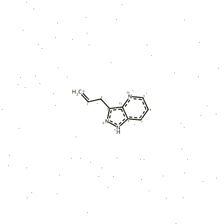 C=CCc1n[nH]c2cccnc12